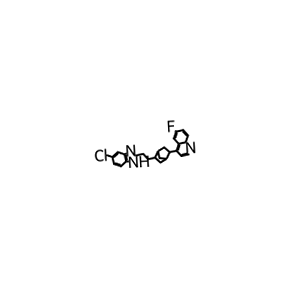 Fc1ccc2nccc(C3CC4CC3CC4CCc3nc4cc(Cl)ccc4[nH]3)c2c1